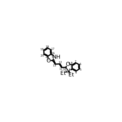 CC[N+]1(CC)c2ccccc2OC1C=CC=C1Nc2ccccc2O1